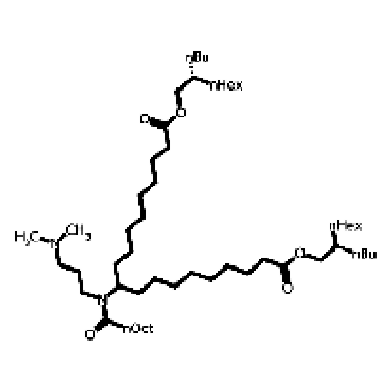 CCCCCCCCC(=O)N(CCCN(C)C)C(CCCCCCCCC(=O)OC[C@H](CCCC)CCCCCC)CCCCCCCCC(=O)OC[C@H](CCCC)CCCCCC